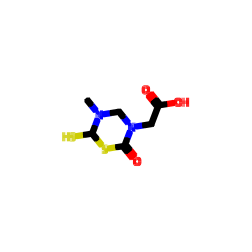 CN1CN(CC(=O)O)C(=O)SC1S